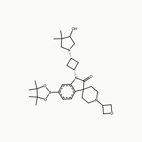 CC1(C)CN([C@H]2C[C@@H](N3C(=O)C4(CCN(C5COC5)CC4)c4ccc(B5OC(C)(C)C(C)(C)O5)cc43)C2)CC1O